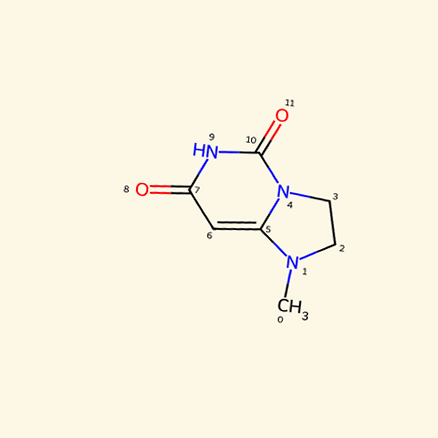 CN1CCn2c1cc(=O)[nH]c2=O